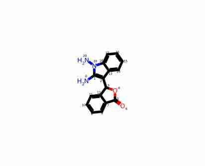 Nc1c(C2OC(=O)c3ccccc32)c2ccccc2n1N